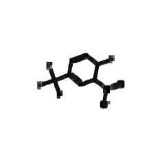 O=[N+]([O-])[C]1C=C(C(F)(F)F)C=CC1F